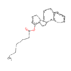 CCCCCCCC(=O)Oc1cccc2c1ccc1c3ccccc3ccc21